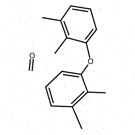 C=O.Cc1cccc(Oc2cccc(C)c2C)c1C